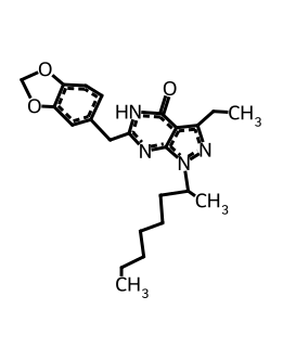 CCCCCCC(C)n1nc(CC)c2c(=O)[nH]c(Cc3ccc4c(c3)OCO4)nc21